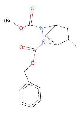 CC1CC2CC1N(C(=O)OCc1ccccc1)N2C(=O)OC(C)(C)C